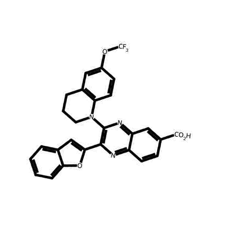 O=C(O)c1ccc2nc(-c3cc4ccccc4o3)c(N3CCCc4cc(OC(F)(F)F)ccc43)nc2c1